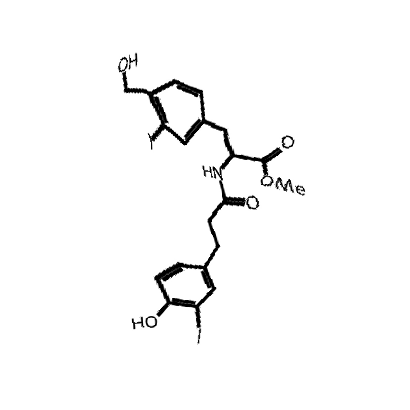 COC(=O)C(Cc1ccc(CO)c(I)c1)NC(=O)CCc1ccc(O)c(I)c1